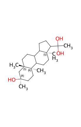 CC(O)(O)C1CCC2C3CC[C@@]4(C)C[C@](C)(O)CC[C@]4(C)C3CC[C@@]21C